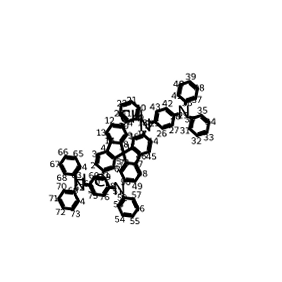 Cc1ccc2c(c1)C1(c3cc(C)ccc3-2)c2cc(N(c3ccccc3)c3ccc(N(c4ccccc4)c4ccccc4)cc3)ccc2-c2ccc(N(c3ccccc3)c3ccc(N(c4ccccc4)c4ccccc4)cc3)cc21